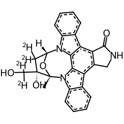 [2H]C([2H])(O)[C@@]1(O)C([2H])([2H])[C@H]2O[C@]1(C)n1c3ccccc3c3c4c(c5c6ccccc6n2c5c31)C(=O)NC4